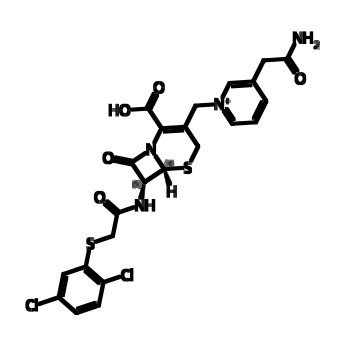 NC(=O)Cc1ccc[n+](CC2=C(C(=O)O)N3C(=O)[C@H](NC(=O)CSc4cc(Cl)ccc4Cl)[C@H]3SC2)c1